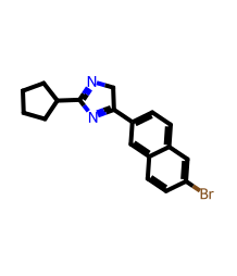 Brc1ccc2cc(C3=NC(C4CCCC4)=NC3)ccc2c1